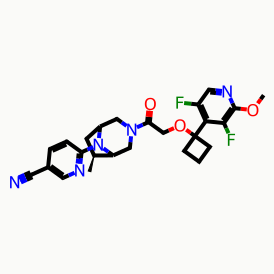 COc1ncc(F)c(C2(OCC(=O)N3CC4C[C@H](C)C(C3)N4c3ccc(C#N)cn3)CCC2)c1F